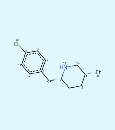 CC[C@@H]1CC[C@H](Cc2ccc(Cl)cc2)NC1